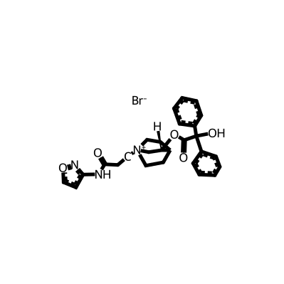 O=C(CC[N+]12CCC(CC1)[C@@H](OC(=O)C(O)(c1ccccc1)c1ccccc1)C2)Nc1ccon1.[Br-]